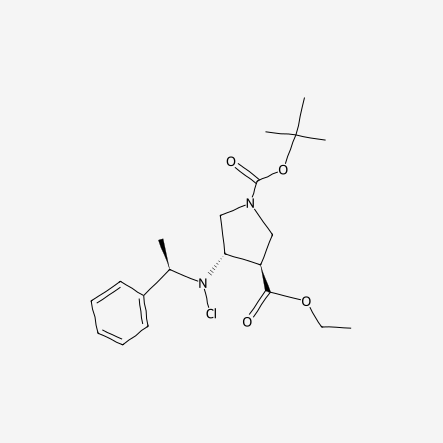 CCOC(=O)[C@@H]1CN(C(=O)OC(C)(C)C)C[C@H]1N(Cl)[C@H](C)c1ccccc1